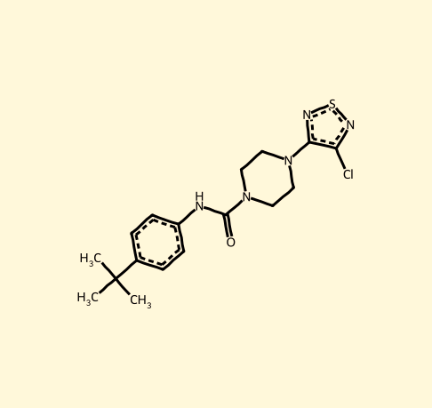 CC(C)(C)c1ccc(NC(=O)N2CCN(c3nsnc3Cl)CC2)cc1